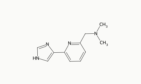 CN(C)Cc1cccc(-c2c[nH]cn2)n1